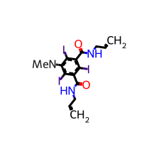 C=CCNC(=O)c1c(I)c(NC)c(I)c(C(=O)NCC=C)c1I